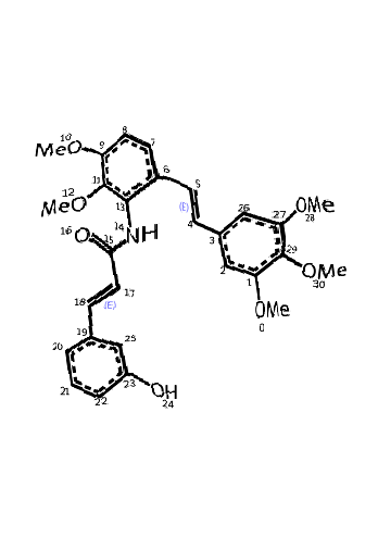 COc1cc(/C=C/c2ccc(OC)c(OC)c2NC(=O)/C=C/c2cccc(O)c2)cc(OC)c1OC